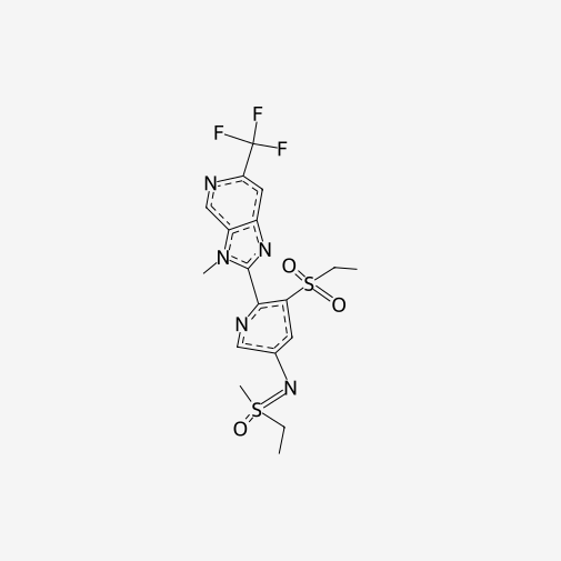 CCS(=O)(=O)c1cc(N=S(C)(=O)CC)cnc1-c1nc2cc(C(F)(F)F)ncc2n1C